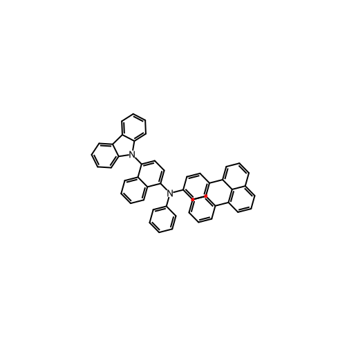 c1ccc(-c2cccc3cccc(-c4ccc(N(c5ccccc5)c5ccc(-n6c7ccccc7c7ccccc76)c6ccccc56)cc4)c23)cc1